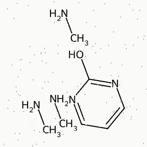 CN.CN.CN.Oc1ncccn1